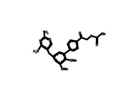 COc1cc(Cc2cnc(N)nc2N)cc(-c2ccc(C(=O)COC(=O)C(C)(C)C)cc2)c1OC